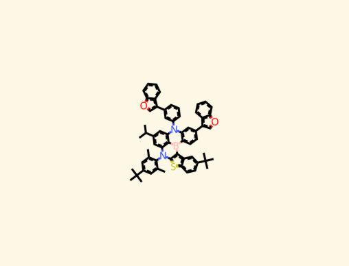 Cc1cc(C(C)(C)C)cc(C)c1N1c2cc(C(C)C)cc3c2B(c2ccc(-c4coc5ccccc45)cc2N3c2cccc(-c3coc4ccccc34)c2)c2c1sc1ccc(C(C)(C)C)cc21